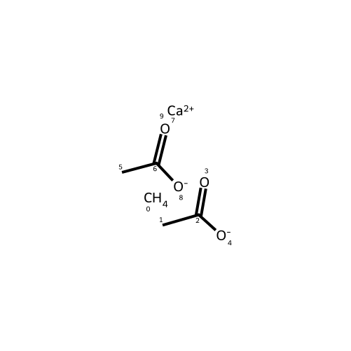 C.CC(=O)[O-].CC(=O)[O-].[Ca+2]